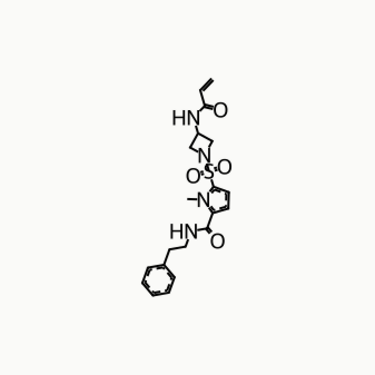 C=CC(=O)NC1CN(S(=O)(=O)c2ccc(C(=O)NCCc3ccccc3)n2C)C1